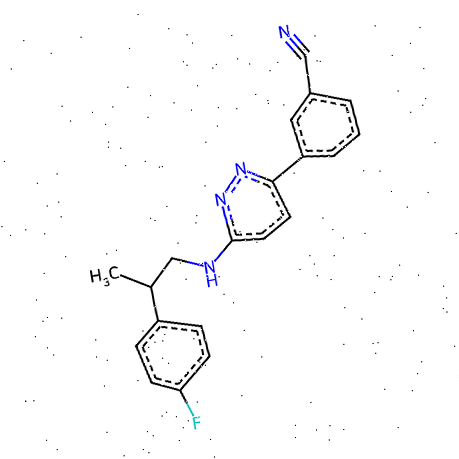 CC(CNc1ccc(-c2cccc(C#N)c2)nn1)c1ccc(F)cc1